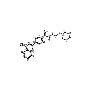 O=C(NCCCN1CCCCC1)c1ccc(-c2cc(Cl)c3cnccc3n2)cc1